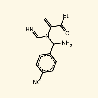 C=C(C(=O)CC)N(C=N)C(N)c1ccc(C#N)cc1